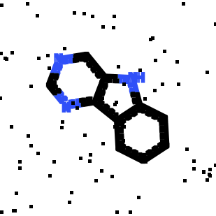 c1ccc2c(c1)[nH]c1cncnc12